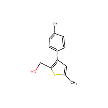 CCc1ccc(-c2cc(C)sc2CO)cc1